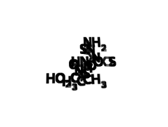 CC1(C)S[C@@H]2[C@@H](NC(=O)/C(=N\OC3CCSCC3)c3csc(N)n3)C(=O)N2[C@H]1C(=O)O